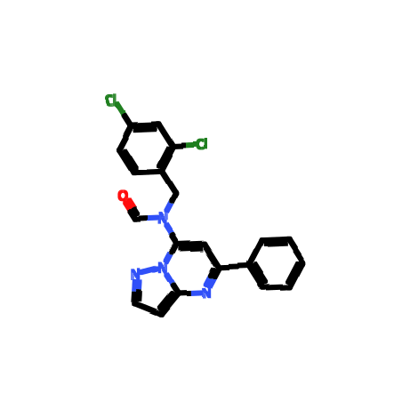 O=CN(Cc1ccc(Cl)cc1Cl)c1cc(-c2ccccc2)nc2ccnn12